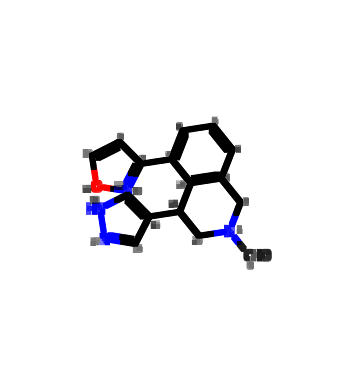 O=CN1Cc2cccc(-c3ccon3)c2C(c2cn[nH]c2)C1